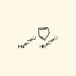 C1=CCC=C1.N=C=O.N=C=O